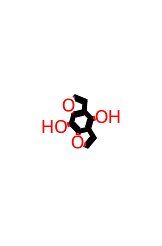 Oc1c2ccoc2c(O)c2occc12